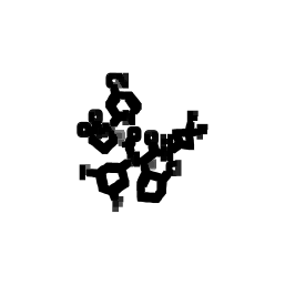 N#Cc1ccnc(N2[C@H](C(=O)N(c3cc(F)cc(F)c3)[C@H](C(=O)NC3CC(F)(F)C3)c3ccccc3Cl)CCS2(=O)=O)c1